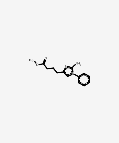 COC(=O)CCCc1cn(-c2ccccc2)c(N)n1